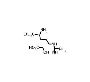 CCOC(=O)[C@@H](N)CCCNC(=N)N.O=C(O)CO